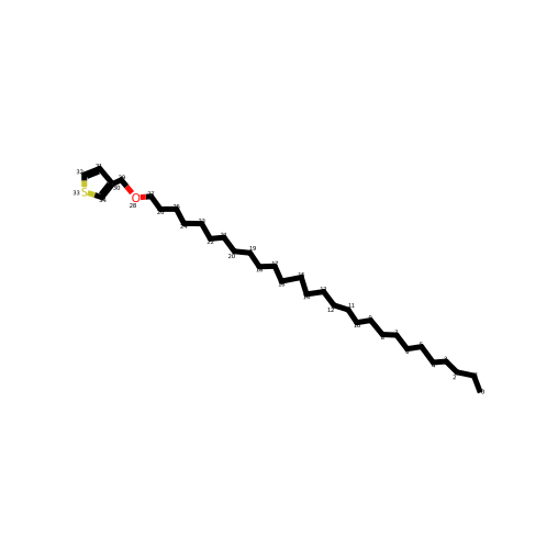 CCCCCCCCCCCCCCCCCCCCCCCCCCCCOCc1ccsc1